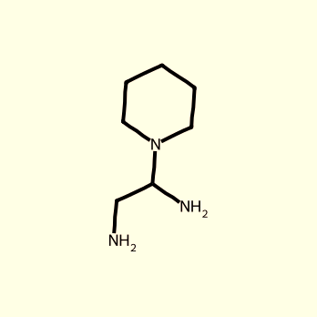 NCC(N)N1CCCCC1